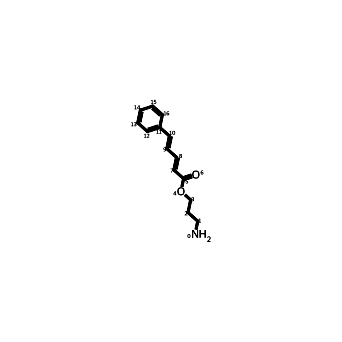 NCCCOC(=O)/C=C/C=C/c1ccccc1